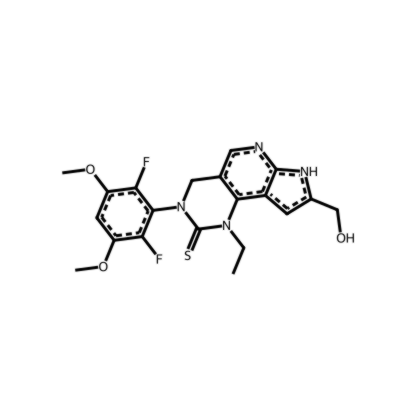 CCN1C(=S)N(c2c(F)c(OC)cc(OC)c2F)Cc2cnc3[nH]c(CO)cc3c21